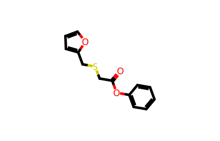 O=C(CSCc1ccco1)Oc1ccccc1